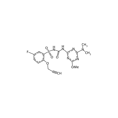 C#CCOc1ccc(F)cc1S(=O)(=O)NC(=O)Nc1nc(OC)nc(N(C)C)n1